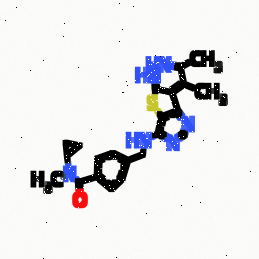 CC(=N)/C(C)=C1\C(=N)Sc2c(NCc3ccc(C(=O)N(C)C4CC4)cc3)ncnc21